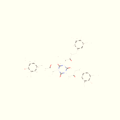 CC(C)(C)c1cc(CCC(=O)C(C=O)n2c(=O)n(C(C=O)C(=O)CCc3cc(C(C)(C)C)c(O)c(C(C)(C)C)c3)c(=O)n(C(C=O)C(=O)CCc3cc(C(C)(C)C)c(O)c(C(C)(C)C)c3)c2=O)cc(C(C)(C)C)c1O